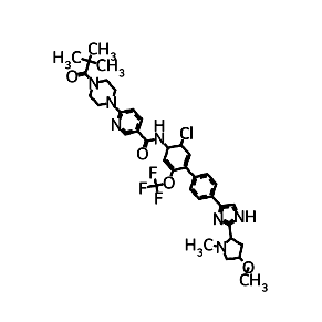 COC1CC(c2nc(-c3ccc(C4=CC(Cl)C(NC(=O)c5ccc(N6CCN(C(=O)C(C)(C)C)CC6)nc5)C=C4OC(F)(F)F)cc3)c[nH]2)N(C)C1